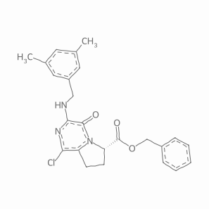 Cc1cc(C)cc(CNc2nc(Cl)c3n(c2=O)[C@H](C(=O)OCc2ccccc2)CC3)c1